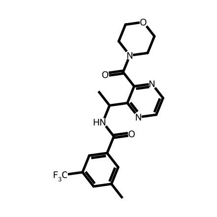 Cc1cc(C(=O)NC(C)c2nccnc2C(=O)N2CCOCC2)cc(C(F)(F)F)c1